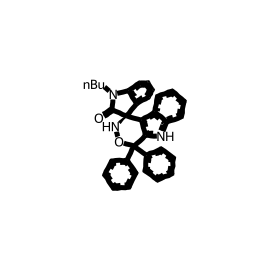 CCCCN1C(=O)[C@]2(NOC(c3ccccc3)(c3ccccc3)c3[nH]c4ccccc4c32)c2ccccc21